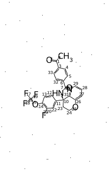 CC(=O)c1ccc(C(=O)N[C@]2(c3ccc(OC(F)(F)F)c(F)c3)CCOc3cccnc32)cc1